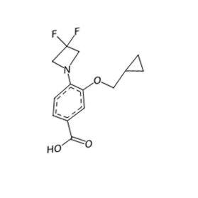 O=C(O)c1ccc(N2CC(F)(F)C2)c(OCC2CC2)c1